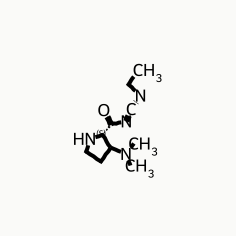 CCN=C=NC(=O)[C@H]1NCCC1N(C)C